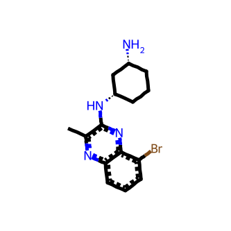 Cc1nc2cccc(Br)c2nc1N[C@H]1CCC[C@@H](N)C1